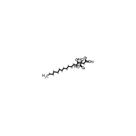 CCCCCCCCCCCCCC(=O)C(O)(CC(=O)O)C(=O)O